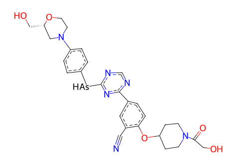 N#Cc1cc(-c2ncnc([AsH]c3ccc(N4CCO[C@@H](CO)C4)cc3)n2)ccc1OC1CCN(C(=O)CO)CC1